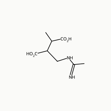 CC(=N)NCC(C(=O)O)C(C)C(=O)O